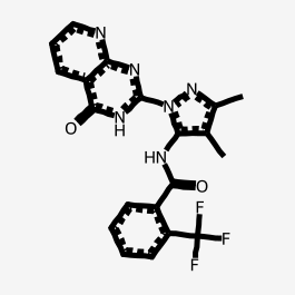 Cc1nn(-c2nc3ncccc3c(=O)[nH]2)c(NC(=O)c2ccccc2C(F)(F)F)c1C